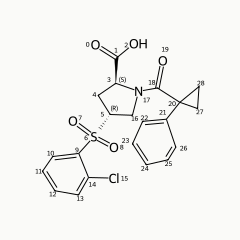 O=C(O)[C@@H]1C[C@@H](S(=O)(=O)c2ccccc2Cl)CN1C(=O)C1(c2ccccc2)CC1